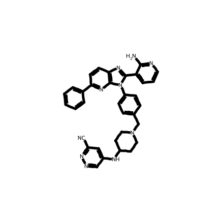 N#Cc1cc(NC2CCN(Cc3ccc(-n4c(-c5cccnc5N)nc5ccc(-c6ccccc6)nc54)cc3)CC2)cnn1